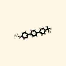 CCC(C)Sc1ccc(-c2ccc(-c3ccc(C(C)(C)CC)cc3)cc2)cc1